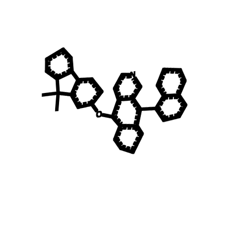 CC1(C)c2ccccc2-c2ccc(Oc3c4ccccc4c(-c4cccc5ccccc45)c4cnccc34)cc21